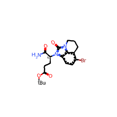 CC(C)(C)OC(=O)CC[C@@H](C(N)=O)n1c(=O)n2c3c(c(Br)ccc31)CCC2